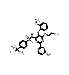 COc1ccccc1Oc1c(NS(=O)(=O)c2ccc(C(C)(C)C)cc2)nc(-c2ncccn2)nc1OCCO.[NaH]